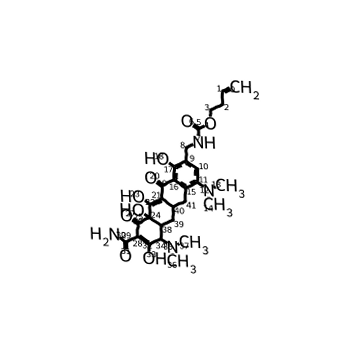 C=CCCOC(=O)NCc1cc(N(C)C)c2c(c1O)C(=O)C1=C(O)C3(O)C(=O)C(C(N)=O)=C(O)C(N(C)C)C3CC1C2